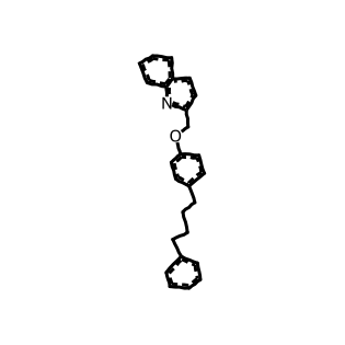 c1ccc(CCCCc2ccc(OCc3ccc4ccccc4n3)cc2)cc1